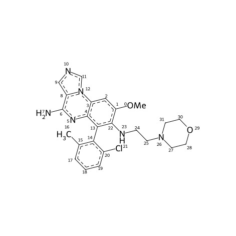 COc1cc2c(nc(N)c3cncn32)c(-c2c(C)cccc2Cl)c1NCCN1CCOCC1